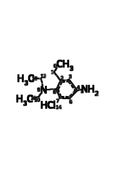 CCc1cc(N)ccc1N(CC)CC.Cl